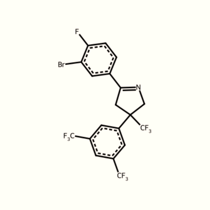 Fc1ccc(C2=NCC(c3cc(C(F)(F)F)cc(C(F)(F)F)c3)(C(F)(F)F)C2)cc1Br